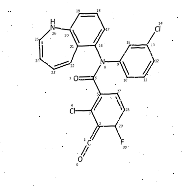 O=C=C1C(Cl)=C(C(=O)N(c2cccc(Cl)c2)c2cccc3c2C=CC=CN3)C=CC1F